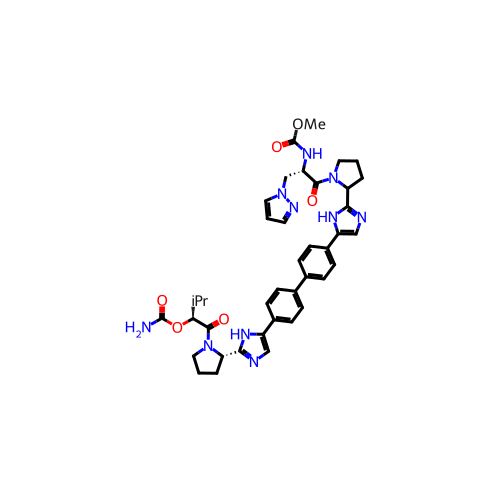 COC(=O)N[C@@H](Cn1cccn1)C(=O)N1CCCC1c1ncc(-c2ccc(-c3ccc(-c4cnc([C@@H]5CCCN5C(=O)[C@@H](OC(N)=O)C(C)C)[nH]4)cc3)cc2)[nH]1